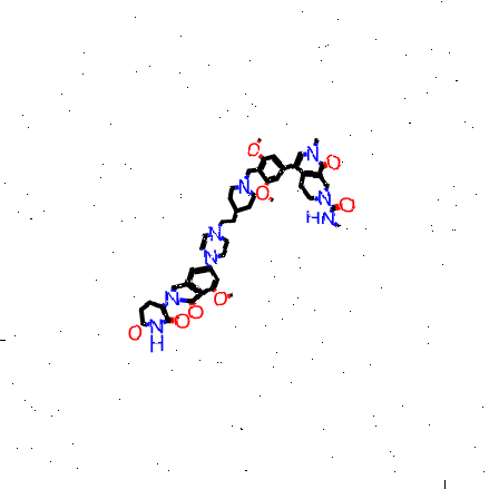 CNC(=O)N1CCc2c(-c3cc(OC)c(CN4CCC(CCN5CCN(c6cc7c(c(OC)c6)C(=O)N(C6CCC(=O)NC6=O)C7)CC5)CC4)c(OC)c3)cn(C)c(=O)c2C1